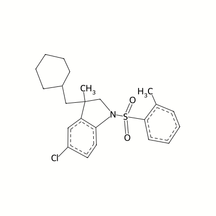 Cc1ccccc1S(=O)(=O)N1CC(C)(CC2CCCCC2)c2cc(Cl)ccc21